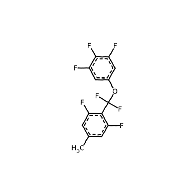 Cc1cc(F)c(C(F)(F)Oc2cc(F)c(F)c(F)c2)c(F)c1